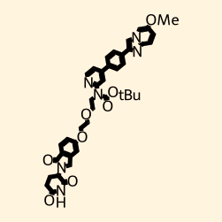 COc1ccc2nc(-c3ccc(-c4ccnc(N(CCOCCOc5ccc6c(c5)CN(C5CCC(=O)NC5=O)C6=O)C(=O)OC(C)(C)C)c4)cc3)cn2c1